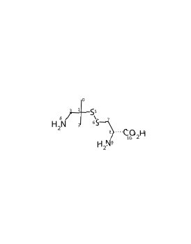 CC(C)(CN)SSC[C@@H](N)C(=O)O